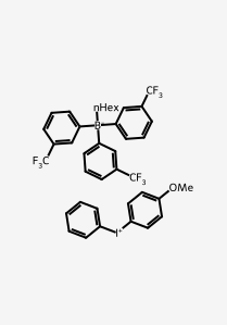 CCCCCC[B-](c1cccc(C(F)(F)F)c1)(c1cccc(C(F)(F)F)c1)c1cccc(C(F)(F)F)c1.COc1ccc([I+]c2ccccc2)cc1